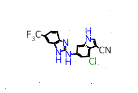 N#Cc1c[nH]c2cc(Nc3nc4ccc(C(F)(F)F)cc4[nH]3)cc(Cl)c12